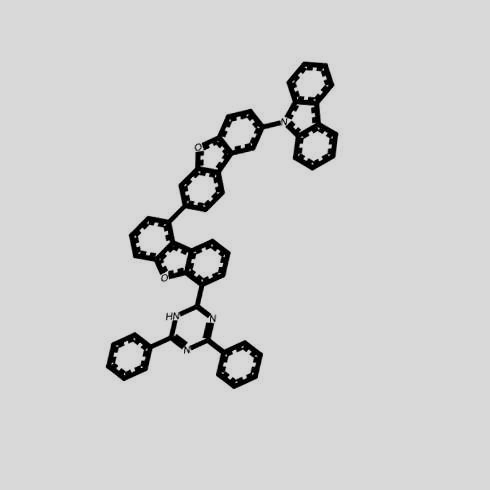 c1ccc(C2=NC(c3cccc4c3oc3cccc(-c5ccc6c(c5)oc5ccc(-n7c8ccccc8c8ccccc87)cc56)c34)NC(c3ccccc3)=N2)cc1